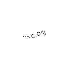 CCCCC[C@H]1CC[C@H](c2ccc(OC(F)(F)F)cc2)CC1